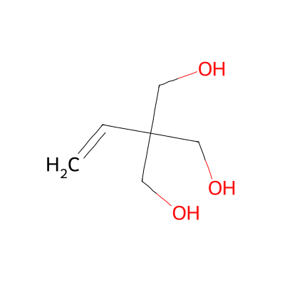 C=CC(CO)(CO)CO